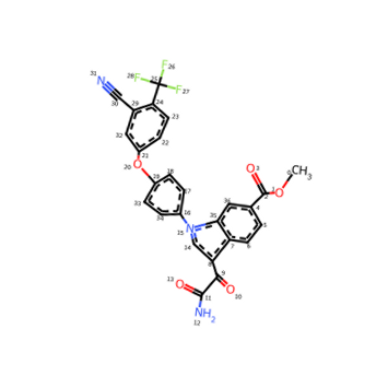 COC(=O)c1ccc2c(C(=O)C(N)=O)cn(-c3ccc(Oc4ccc(C(F)(F)F)c(C#N)c4)cc3)c2c1